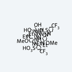 CCN(CC)c1cc(Nc2nc(Nc3cc(N(CC)CC)c(OC)cc3/N=N/c3ccc(C(F)(F)F)cc3S(=O)(=O)O)nc(N(CCO)CCO)n2)c(/N=N/c2ccc(C(F)(F)F)cc2S(=O)(=O)O)cc1OC